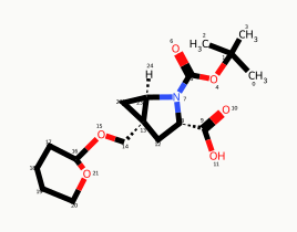 CC(C)(C)OC(=O)N1[C@H](C(=O)O)C[C@@]2(COC3CCCCO3)C[C@@H]12